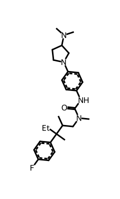 CCC(C)(c1ccc(F)cc1)C(C)CN(C)C(=O)Nc1ccc(N2CCC(N(C)C)C2)cc1